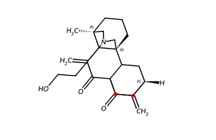 C=C1C(=O)C23CC[C@@H](CC2[C@@]24CCC[C@@](C)(CN(CCO)C2)C14)C(=C)C3=O